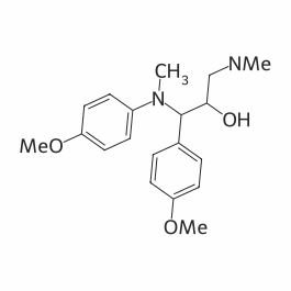 CNCC(O)C(c1ccc(OC)cc1)N(C)c1ccc(OC)cc1